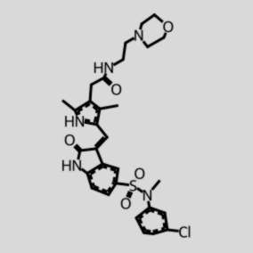 Cc1[nH]c(/C=C2\C(=O)Nc3ccc(S(=O)(=O)N(C)c4cccc(Cl)c4)cc32)c(C)c1CC(=O)NCCN1CCOCC1